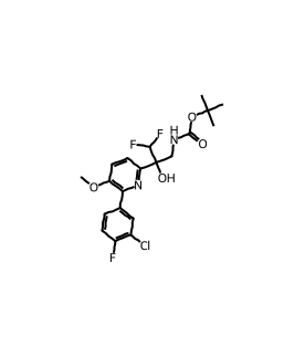 COc1ccc(C(O)(CNC(=O)OC(C)(C)C)C(F)F)nc1-c1ccc(F)c(Cl)c1